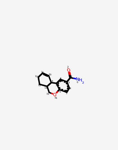 NC(=O)c1ccc2c(c1)C1C=CCCC1CO2